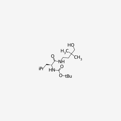 CC(C)C[C@H](NC(=O)OC(C)(C)C)C(=O)NCCC(C)(C)CO